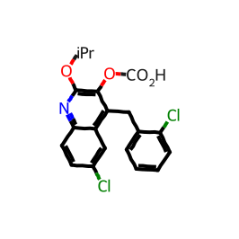 CC(C)Oc1nc2ccc(Cl)cc2c(Cc2ccccc2Cl)c1OC(=O)O